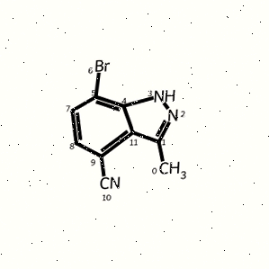 Cc1n[nH]c2c(Br)ccc(C#N)c12